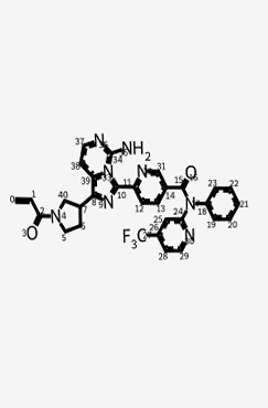 C=CC(=O)N1CCC(c2nc(-c3ccc(C(=O)N(c4ccccc4)c4cc(C(F)(F)F)ccn4)cn3)n3c(N)nccc23)C1